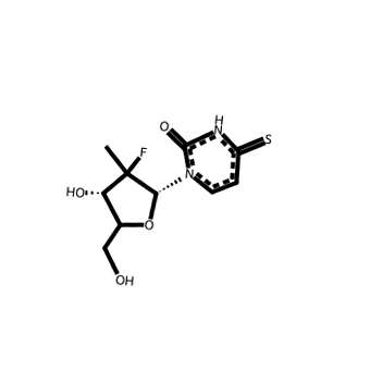 CC1(F)[C@@H](O)C(CO)O[C@H]1n1ccc(=S)[nH]c1=O